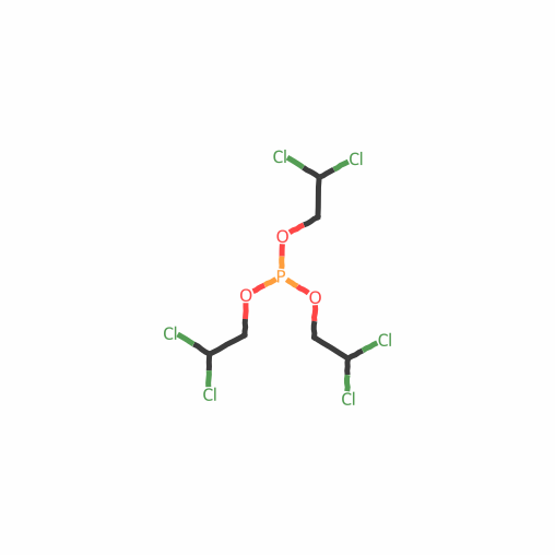 ClC(Cl)COP(OCC(Cl)Cl)OCC(Cl)Cl